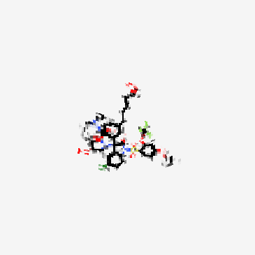 COc1ccc(S(=O)(=O)N2C(=O)C(c3cc(CCCCC=O)ccc3OC)(N3C[C@H](O)C[C@H]3C(=O)N(C)C)c3cc(Cl)ccc32)c(OC(F)(F)F)c1